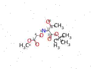 COC(=O)CON=C(C(C)=O)C(=O)OC(C)(C)C